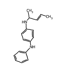 CC=CC(C)Nc1ccc(Nc2ccccc2)cc1